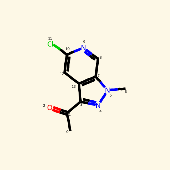 CC(=O)c1nn(C)c2cnc(Cl)cc12